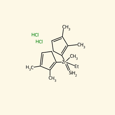 C[CH2][Zr]([CH3])(=[SiH2])([C]1=C(C)C(C)=CC1)[C]1=C(C)C(C)=CC1.Cl.Cl